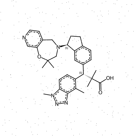 Cc1c([C@H](c2ccc3c(c2)[C@@H](N2Cc4ccncc4OC(C)(C)C2)CC3)C(C)(C)C(=O)O)ccc2c1nnn2C